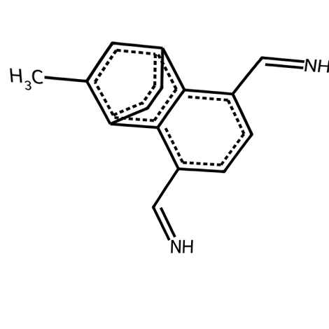 Cc1cc2ccc1c1c(C=N)ccc(C=N)c21